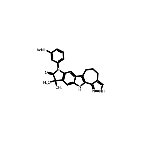 CC(=O)Nc1cccc(N2C(=O)C(C)(C)c3cc4[nH]c5c(c4cc32)CCCc2c[nH]nc2-5)c1